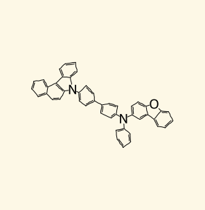 c1ccc(N(c2ccc(-c3ccc(-n4c5ccccc5c5c6ccccc6ccc54)cc3)cc2)c2ccc3oc4ccccc4c3c2)cc1